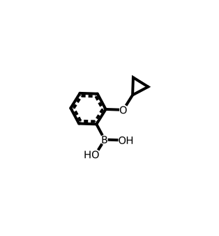 OB(O)c1ccccc1OC1CC1